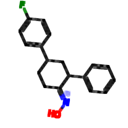 O/N=C1\CCC(c2ccc(F)cc2)CC1c1ccccc1